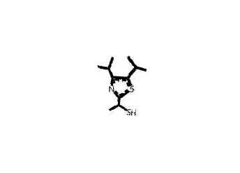 CC(C)c1nc(C(C)S)sc1C(C)C